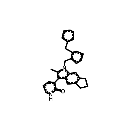 Cc1c(-c2ccc[nH]c2=O)c2cc3c(cc2n1Cc1ccccc1Cc1ccccc1)CCC3